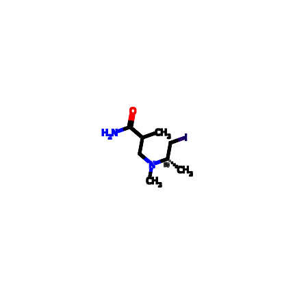 CC(CN(C)[C@@H](C)CI)C(N)=O